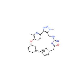 Cc1nc(-c2nnn(C)c2CNc2noc(Cc3ccccc3)n2)ccc1O[C@H]1CCC[C@H](C(=O)O)C1